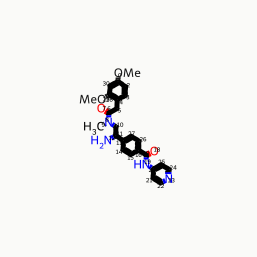 COc1ccc(CC(=O)N(C)CC(N)c2ccc(C(=O)Nc3ccncc3)cc2)c(OC)c1